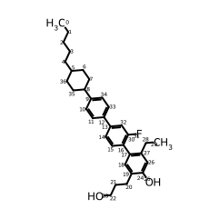 CCCCCC1CCC(c2ccc(-c3ccc(-c4cc(CCCO)c(O)cc4CC)c(F)c3)cc2)CC1